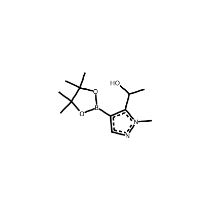 CC(O)c1c(B2OC(C)(C)C(C)(C)O2)cnn1C